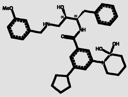 COc1cccc(CNC[C@@H](O)[C@H](Cc2ccccc2)NC(=O)c2cc(C3CCCC3)cc(N3CCCCS3(O)O)c2)c1